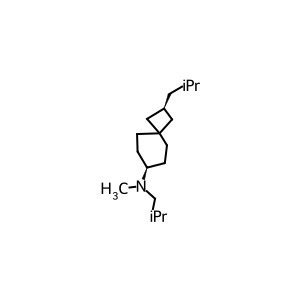 CC(C)CN(C)[C@H]1CCC2(CC1)C[C@H](CC(C)C)C2